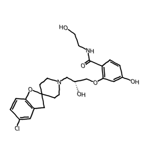 O=C(NCCO)c1ccc(O)cc1OC[C@H](O)CN1CCC2(CC1)Cc1cc(Cl)ccc1O2